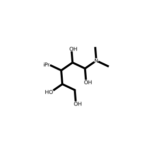 CC(C)C(C(O)CO)C(O)C(O)N(C)C